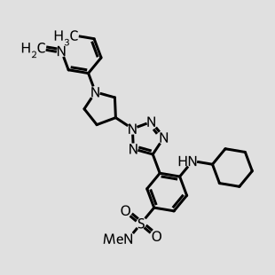 C=N/C=C(\C=C/C)N1CCC(n2nnc(-c3cc(S(=O)(=O)NC)ccc3NC3CCCCC3)n2)C1